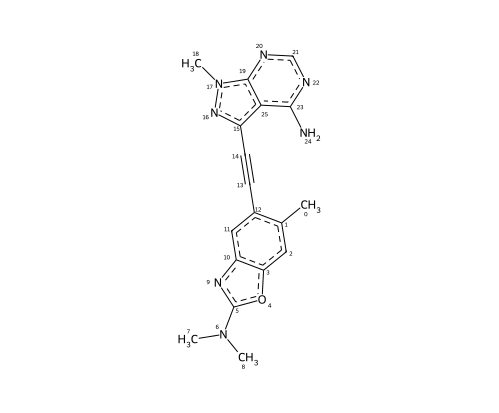 Cc1cc2oc(N(C)C)nc2cc1C#Cc1nn(C)c2ncnc(N)c12